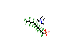 CC[N+](CC)(CC)CC.O=S(=O)([O-])C(F)C(F)(F)C(F)(F)C(F)(F)C(F)(F)C(F)(F)C(F)C(F)C(F)C(F)F